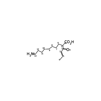 CC=CC(=O)C(CCCCCCCCN)C(=O)O